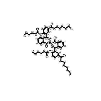 CCCCCCCC(=O)c1ccc(OC(=O)CCCCC)c(C(=O)c2ccccc2C(=O)OOC(=O)c2ccccc2C(=O)c2cc(C(=O)CCCCCCC)ccc2OC(=O)CCCCC)c1